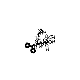 CCNC(=O)[C@H]1O[C@@H](n2cnc3c(NCC(c4ccccc4)c4ccccc4)nc(NCCc4ncc[nH]4)nc32)[C@H](O)[C@@H]1O